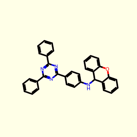 c1ccc(-c2nc(-c3ccccc3)nc(-c3ccc(NC4c5ccccc5Oc5ccccc54)cc3)n2)cc1